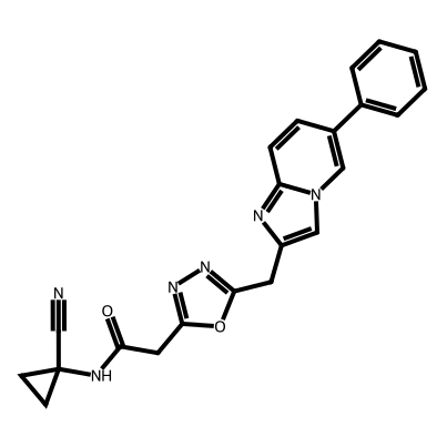 N#CC1(NC(=O)Cc2nnc(Cc3cn4cc(-c5ccccc5)ccc4n3)o2)CC1